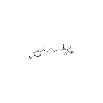 CC(C)S(=O)(=O)NCCCCCNc1ccc(Br)cc1